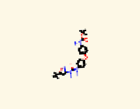 CC(C)(C)OC(=O)Nc1ccc(Oc2ccc(NC(=O)Nc3cc(C(C)(C)C)on3)cc2)cc1